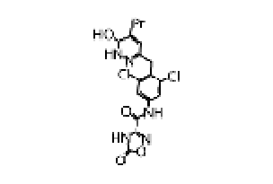 CC(C)C1=CC(Cc2c(Cl)cc(NC(=O)c3noc(=O)[nH]3)cc2Cl)=NNC1O